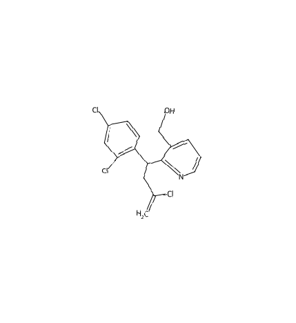 C=C(Cl)CC(c1ccc(Cl)cc1Cl)c1ncccc1CO